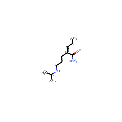 CCC=C(CCCNC(C)C)C(N)=O